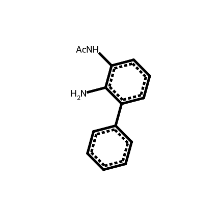 CC(=O)Nc1cccc(-c2ccccc2)c1N